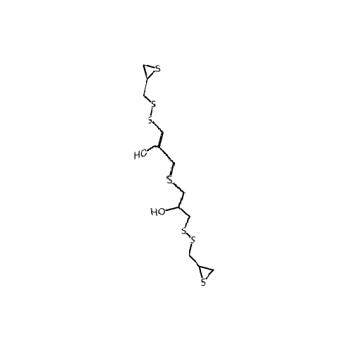 OC(CSCC(O)CSSCC1CS1)CSSCC1CS1